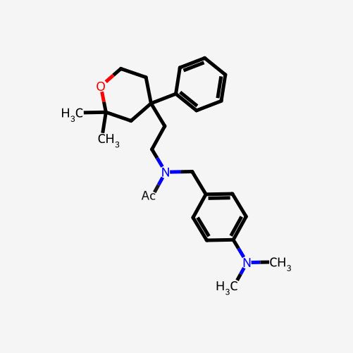 CC(=O)N(CCC1(c2ccccc2)CCOC(C)(C)C1)Cc1ccc(N(C)C)cc1